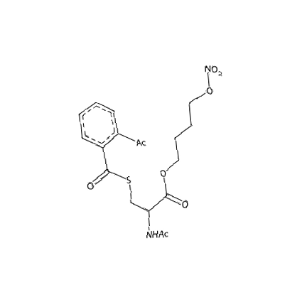 CC(=O)NC(CSC(=O)c1ccccc1C(C)=O)C(=O)OCCCCO[N+](=O)[O-]